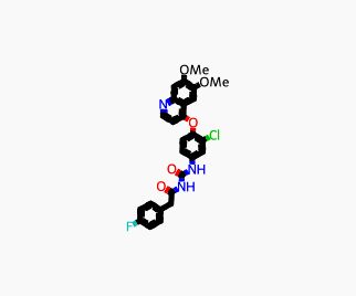 COc1cc2nccc(Oc3ccc(NC(=O)NC(=O)Cc4ccc(F)cc4)cc3Cl)c2cc1OC